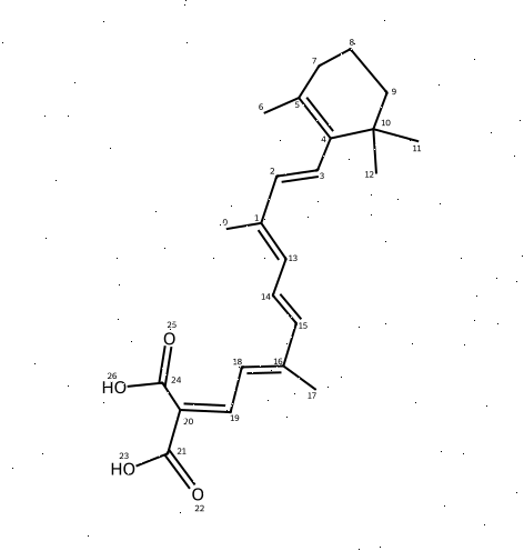 CC(C=CC1=C(C)CCCC1(C)C)=CC=CC(C)=CC=C(C(=O)O)C(=O)O